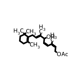 CC(=O)OC/C=C(C)\C=C/C(O)/C(C)=C/CC1=C(C)CCCC1(C)C